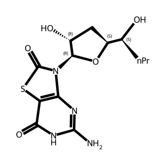 CCC[C@H](O)[C@@H]1C[C@@H](O)[C@H](n2c(=O)sc3c(=O)[nH]c(N)nc32)O1